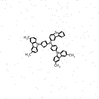 Cc1ccc2c(c1)c1cc(C)ccc1n2-c1ccc(N(c2ccc(-n3c4ccc(C)cc4c4cc(C)ccc43)cc2)c2ccc3sc4ccccc4c3c2)cc1